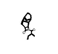 CCC(C)C(=O)N1C(=O)C2CC3C4CCC(C4)C3C21